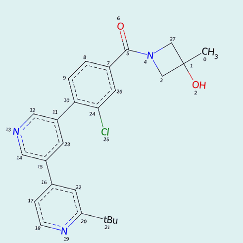 CC1(O)CN(C(=O)c2ccc(-c3cncc(-c4ccnc(C(C)(C)C)c4)c3)c(Cl)c2)C1